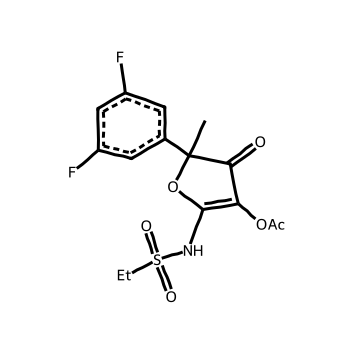 CCS(=O)(=O)NC1=C(OC(C)=O)C(=O)C(C)(c2cc(F)cc(F)c2)O1